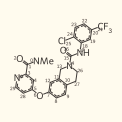 CNC(=O)c1cc(Oc2ccc3c(c2)CN(C(=O)Nc2cc(C(F)(F)F)ccc2Cl)CC3)ccn1